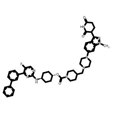 Cn1nc(C2CCC(=O)NC2=O)c2ccc(N3CCN(CC4CCN(C(=O)O[C@H]5CC[C@H](Nc6ncc(F)c(-c7cccc(-c8ccccc8)c7)n6)CC5)CC4)CC3)cc21